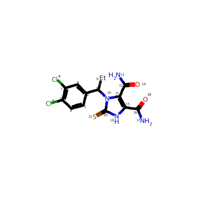 CCC(c1ccc(Cl)c(Cl)c1)n1c(C(N)=O)c(C(N)=O)[nH]c1=S